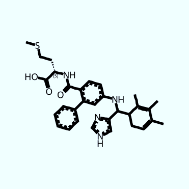 CSCC[C@H](NC(=O)c1ccc(NC(c2c[nH]cn2)C2CC=C(C)C(C)=C2C)cc1-c1ccccc1)C(=O)O